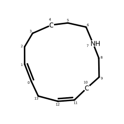 C1=CCCCCCNCCCC=CC1